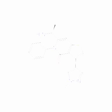 C[C@H](N)c1cc2scc(-c3cnn(C)c3)c2c(=O)n1-c1ccccc1